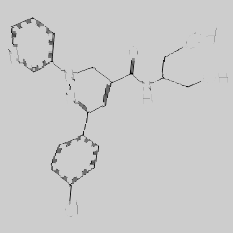 O=C(NC(CO)CO)C1=CC(c2ccc(Cl)cc2)=NN(c2cccnc2)C1